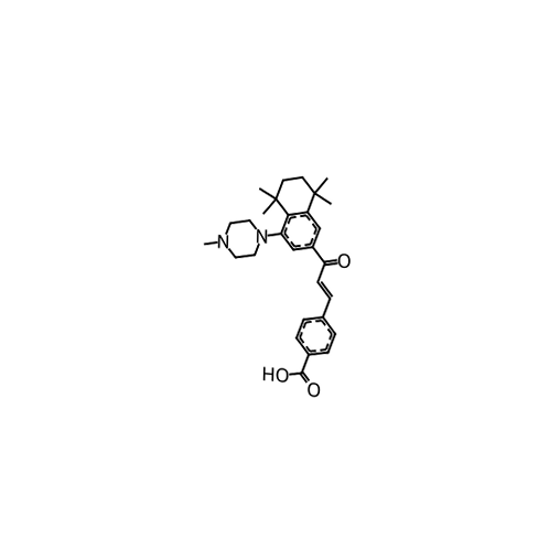 CN1CCN(c2cc(C(=O)C=Cc3ccc(C(=O)O)cc3)cc3c2C(C)(C)CCC3(C)C)CC1